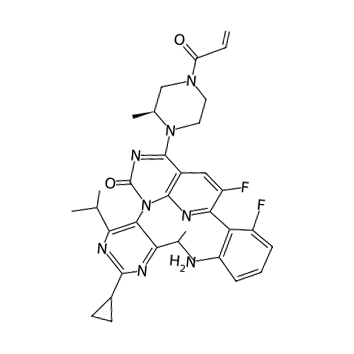 C=CC(=O)N1CCN(c2nc(=O)n(-c3c(C(C)C)nc(C4CC4)nc3C(C)C)c3nc(-c4c(N)cccc4F)c(F)cc23)[C@@H](C)C1